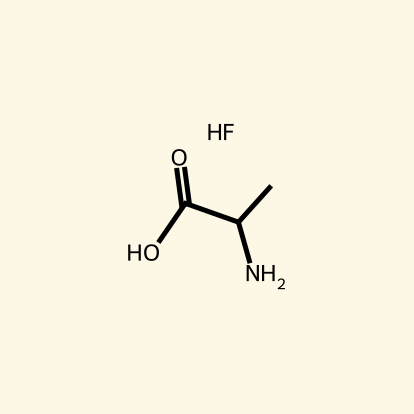 CC(N)C(=O)O.F